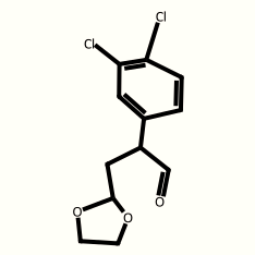 O=CC(CC1OCCO1)c1ccc(Cl)c(Cl)c1